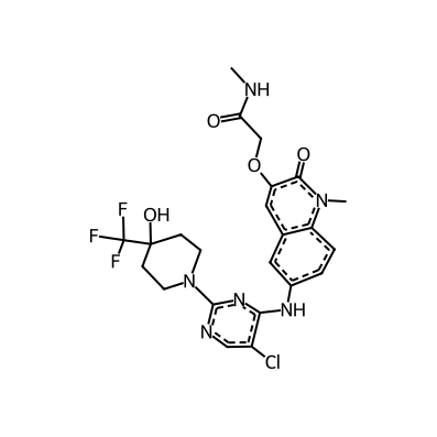 CNC(=O)COc1cc2cc(Nc3nc(N4CCC(O)(C(F)(F)F)CC4)ncc3Cl)ccc2n(C)c1=O